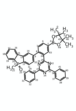 CC1(C)OB(c2ccc(-c3ccc4c(c3)-c3ccccc3P4(C)=O)c(-c3nc(-c4ccccc4)nc(-c4ccccc4)n3)c2)OC1(C)C